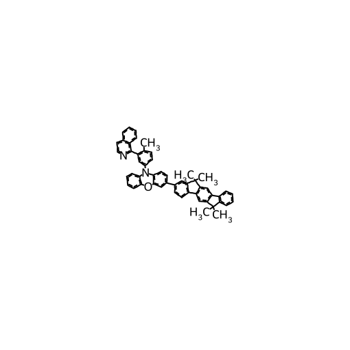 Cc1ccc(N2c3ccccc3Oc3cc(-c4ccc5c(c4)C(C)(C)c4cc6c(cc4-5)C(C)(C)c4ccccc4-6)ccc32)cc1-c1nccc2ccccc12